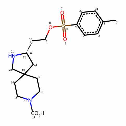 Cc1ccc(S(=O)(=O)OCC[C@@H]2CC3(CCN(C(=O)O)CC3)CN2)cc1